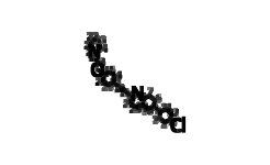 Clc1ccc(-c2ccc3nc(C#Cc4ccc(OCCN5CCCC5)cc4)ccc3c2)cc1